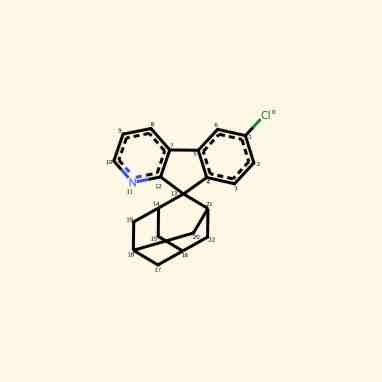 Clc1ccc2c(c1)-c1cccnc1C21C2CC3CC(C2)CC1C3